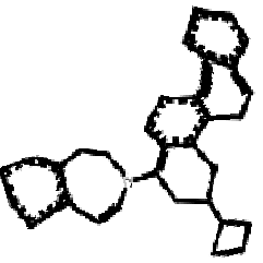 [c]1ccc2c(c1)C=CN(C1=c3ccc4c(c3CC(C3CCC3)C1)CC=c1ccccc1=4)CC2